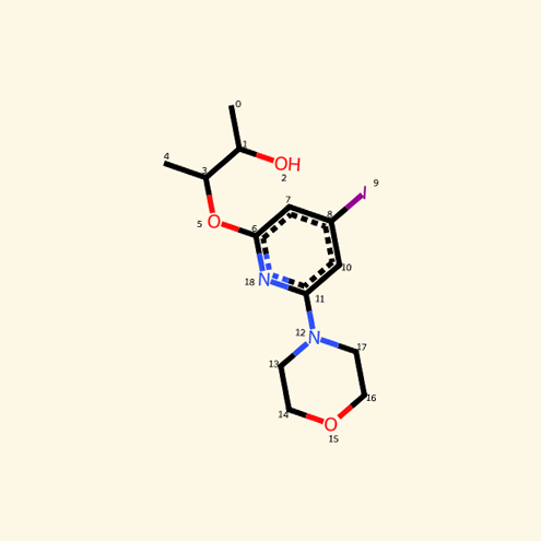 CC(O)C(C)Oc1cc(I)cc(N2CCOCC2)n1